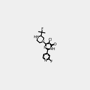 CC(C)(F)C1CN(c2nc(-c3ccnc(F)c3)[nH]c(=O)c2Cl)CCN1